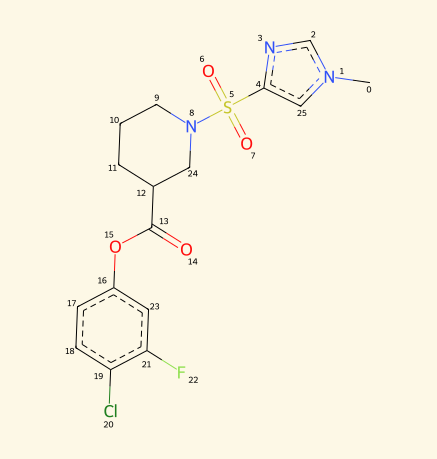 Cn1cnc(S(=O)(=O)N2CCCC(C(=O)Oc3ccc(Cl)c(F)c3)C2)c1